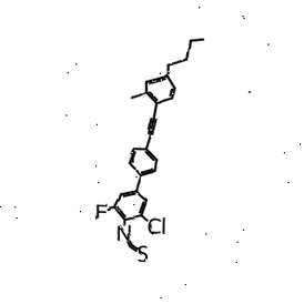 CCCCc1ccc(C#Cc2ccc(-c3cc(F)c(N=C=S)c(Cl)c3)cc2)c(C)c1